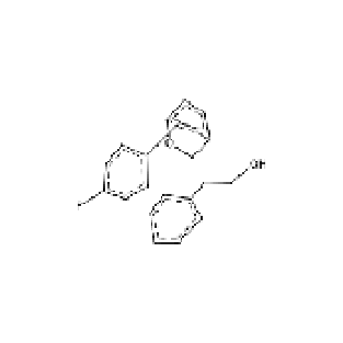 Fc1ccc(-c2cc3ccc2OC3)cc1.OCCc1ccccc1